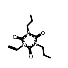 C=Cn1c(=O)n(CCC)c(=O)n(CCC)c1=O